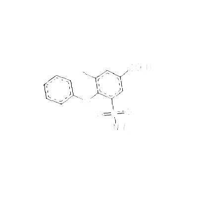 Cc1cc(C(=O)O)cc(S(N)(=O)=O)c1Oc1ccccc1